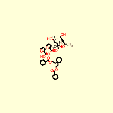 CC(C)(CO)CCCO.CC(O)C#C[C@H](C)O.O=C(O)c1ccco1.O=C(O)c1ccco1.O=C(OCCC1(CCOC(=O)c2ccccc2)CCCCC1)c1ccccc1